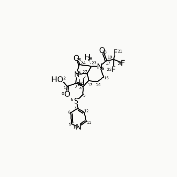 O=C(O)C1=C(CSc2ccncc2)C2CCN(C(=O)C(F)(F)F)[C@@H]3C(=O)N1[C@H]23